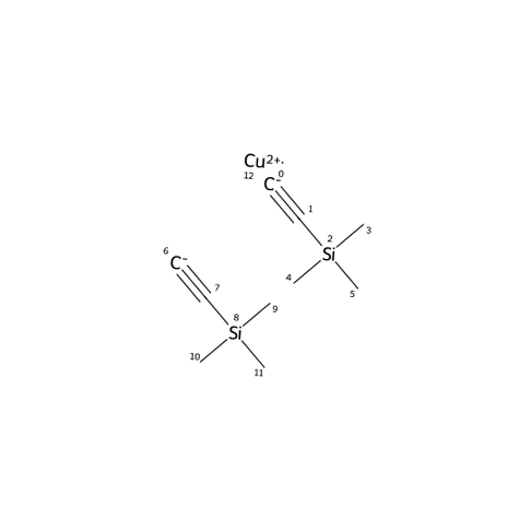 [C-]#C[Si](C)(C)C.[C-]#C[Si](C)(C)C.[Cu+2]